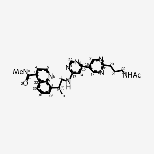 CNC(=O)c1ccnc2c([C@H](C)CNc3cc(-c4cnc(CCCNC(C)=O)nc4)ncn3)cccc12